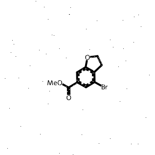 COC(=O)c1cc(Br)c2c(c1)OCC2